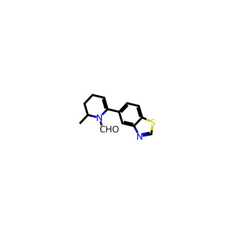 CC1CCC=C(c2ccc3scnc3c2)N1C=O